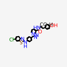 O=C(N[C@H](Cc1ccc(O)cc1)C(=O)O)c1cccn2c(-c3ccc(NC4=NC5CC=C(Cl)C=C5S4)cc3)nnc12